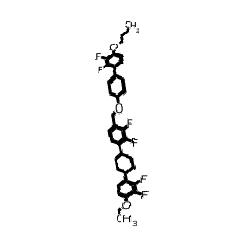 CCCCOc1ccc(C2=CCC(OCc3ccc(C4CCC(c5ccc(OCC)c(F)c5F)CC4)c(F)c3F)CC2)c(F)c1F